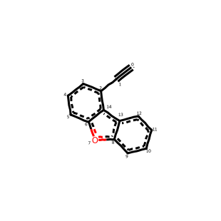 [C]#Cc1cccc2oc3ccccc3c12